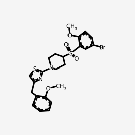 COc1ccccc1Cc1csc(N2CCC(S(=O)(=O)c3cc(Br)ccc3OC)CC2)n1